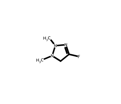 CN1CC(F)=NN1C